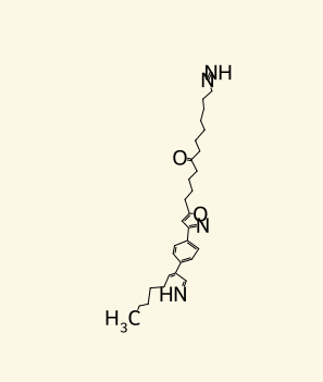 CCCCC/C=C(\C=N)c1ccc(-c2cc(CCCCC(=O)CCCCCCCN=N)on2)cc1